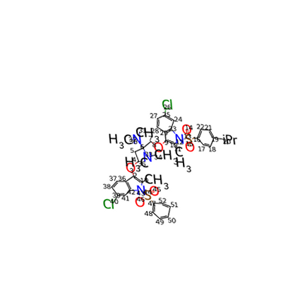 Cc1c(OCCC(COc2c(C)n(S(=O)(=O)c3ccc(C(C)C)cc3)c3cc(Cl)ccc23)(N(C)C)N(C)C)c2ccc(Cl)cc2n1S(=O)(=O)c1ccccc1